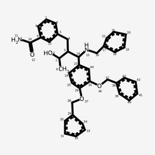 CC(O)C(Cc1cccc(C(N)=O)c1)C(NCc1ccccc1)c1ccc(OCc2ccccc2)c(OCc2ccccc2)c1